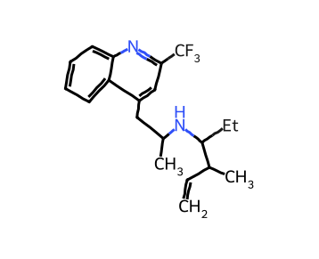 C=CC(C)C(CC)NC(C)Cc1cc(C(F)(F)F)nc2ccccc12